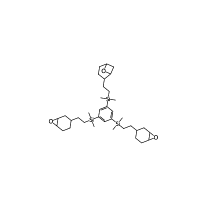 C[Si](C)(CCC1CCC2OC2C1)c1cc([Si](C)(C)CCC2CCC3OC3C2)cc([Si](C)(C)CCC2CCC3CC2O3)c1